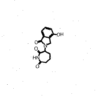 O=C1CCCC(N2Cc3c(O)cccc3C2=O)C(=O)N1